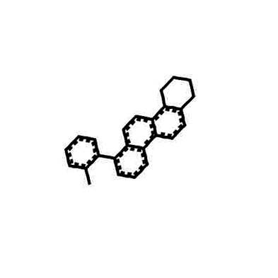 Cc1ccccc1-c1cccc2c1ccc1c3c(ccc12)CCCC3